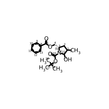 CC1C[C@@H](COC(=O)c2ccccc2)N(C(=O)OC(C)(C)C)C1O